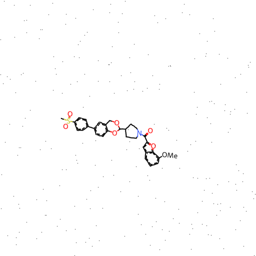 COc1cccc2cc(C(=O)N3CCC(C4OCc5cc(-c6ccc(S(C)(=O)=O)cc6)ccc5O4)CC3)oc12